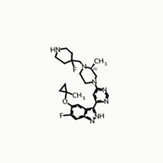 C[C@H]1CN(c2cc(-c3[nH]nc4cc(F)c(OC5(C)CC5)cc34)ncn2)CCN1CC1(F)CCNCC1